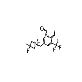 C/C=C1/C(C(F)(F)I)=CC(C[N+]2(C)CC(C)(F)C2)=CN1C=O